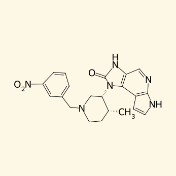 C[C@@H]1CCN(Cc2cccc([N+](=O)[O-])c2)C[C@@H]1n1c(=O)[nH]c2cnc3[nH]ccc3c21